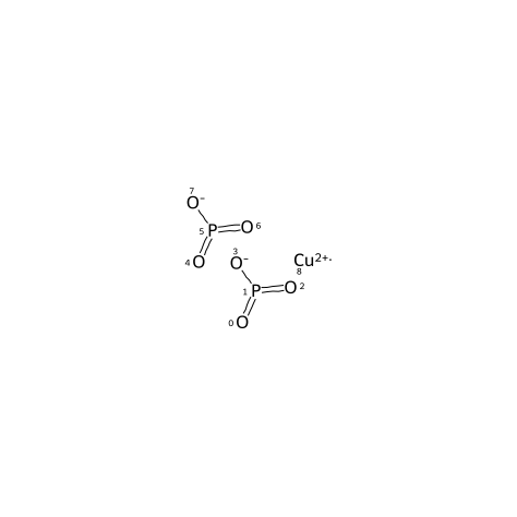 O=P(=O)[O-].O=P(=O)[O-].[Cu+2]